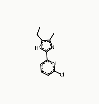 CCc1[nH]c(-c2cccc(Cl)n2)nc1C